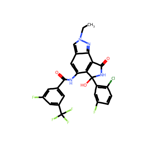 CCn1cc2cc(NC(=O)c3cc(F)cc(C(F)(F)F)c3)c3c(c2n1)C(=O)NC3(O)c1cc(F)ccc1Cl